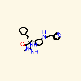 CN1C(=N)N[C@](CCC2CCCCC2)(C[C@@H]2CCC[C@@H](NCCc3cccnc3)C2)C1=O